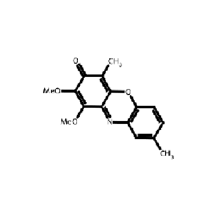 COc1c2nc3cc(C)ccc3oc-2c(C)c(=O)c1OC